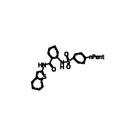 CCCCCc1ccc(S(=O)(=O)Nc2ccccc2C(=O)Nc2cc3ccccc3s2)cc1